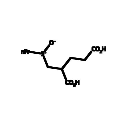 CCC[S+]([O-])CC(CCC(=O)O)C(=O)O